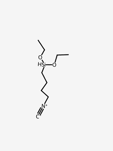 [C-]#[N+]CCCC[SiH](OCC)OCC